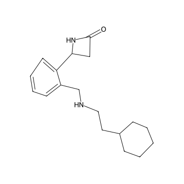 O=C1CC(c2ccccc2CNCCC2CCCCC2)N1